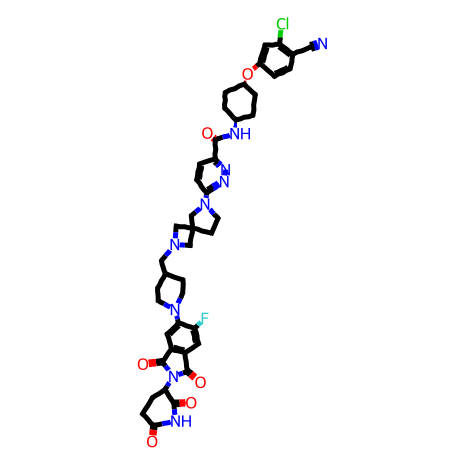 N#Cc1ccc(O[C@H]2CC[C@H](NC(=O)c3ccc(N4CCC5(CN(CC6CCN(c7cc8c(cc7F)C(=O)N(C7CCC(=O)NC7=O)C8=O)CC6)C5)C4)nn3)CC2)cc1Cl